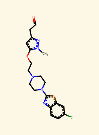 Cn1nc(CC=O)cc1OCCN1CCN(c2nc3ccc(Cl)cc3s2)CC1